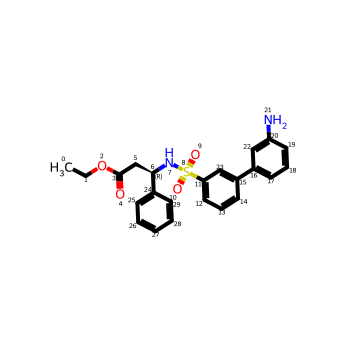 CCOC(=O)C[C@@H](NS(=O)(=O)c1cccc(-c2cccc(N)c2)c1)c1ccccc1